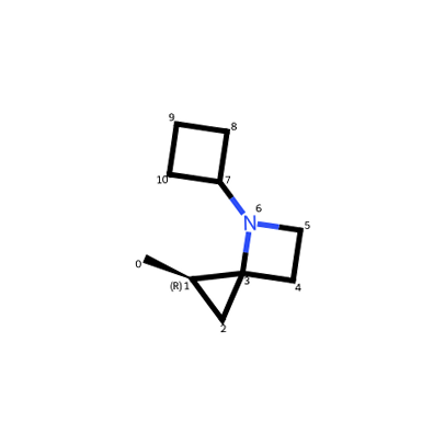 C[C@@H]1CC12CCN2C1CCC1